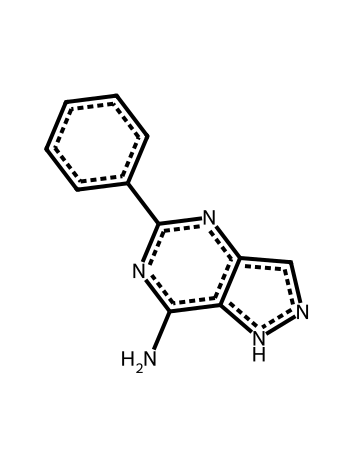 Nc1nc(-c2ccccc2)nc2cn[nH]c12